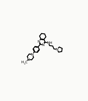 CN1CCN(c2ccc(-c3nc4c(c(NCCCN5CCCC5)n3)CCCC4)cc2)CC1